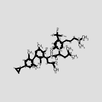 Cc1cc(-c2c(C)cc(C3CC3)cc2C)c(F)c(C(CC(=O)O)NC(=O)C(CC(C)C)n2cc(CCCN(C)C)c(C(F)(F)F)cc2=O)c1F